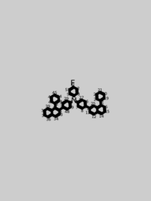 Fc1ccc(N(c2ccc(-c3ccc4cccc(-c5ccccc5)c4c3)cc2)c2ccc(-c3ccc4ccccc4c3-c3ccccc3)cc2)cc1